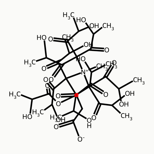 CC(O)C(=O)OC(CC(=O)[O-])(C(=O)C(C)O)C(C(=O)C(C)O)(C(=O)C(C)O)[N+](C)(C(C(=O)C(C)O)(C(=O)C(C)O)C(=O)C(C)O)C(C(=O)C(C)O)(C(=O)C(C)O)C(=O)C(C)O